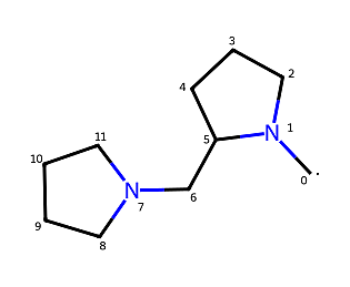 [CH2]N1CCCC1CN1CCCC1